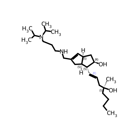 CCCC[C@](C)(O)C/C=C/[C@@H]1[C@H]2CC(CNCCCN(C(C)C)C(C)C)=C[C@H]2C[C@H]1O